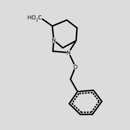 O=C(O)C1CCC2CN1CN2OCc1ccccc1